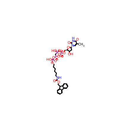 Cc1cn([C@H]2CC(O)[C@@H](COP(=O)(O)OP(=O)(O)CP(=O)(O)OP(=O)(O)OCCCCCCNC(=O)OCC3c4ccccc4-c4ccccc43)O2)c(=O)[nH]c1=O